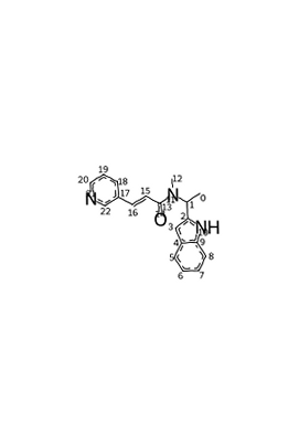 CC(c1cc2ccccc2[nH]1)N(C)C(=O)/C=C/c1cccnc1